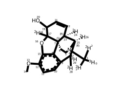 [2H]C([2H])([2H])N1CC[C@]23c4c5ccc(OC)c4OC2([2H])C(O)C=C[C@@]3([2H])[C@@]1([2H])C5([2H])[2H]